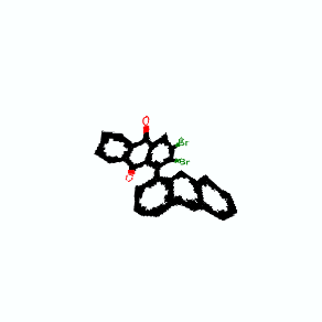 O=C1c2ccccc2C(=O)c2c1cc(Br)c(Br)c2-c1cccc2cc3ccccc3cc12